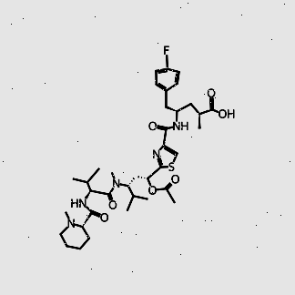 CC(=O)O[C@H](C[C@H](C(C)C)N(C)C(=O)[C@@H](NC(=O)[C@H]1CCCCN1C)C(C)C)c1nc(C(=O)N[C@@H](Cc2ccc(F)cc2)C[C@H](C)C(=O)O)cs1